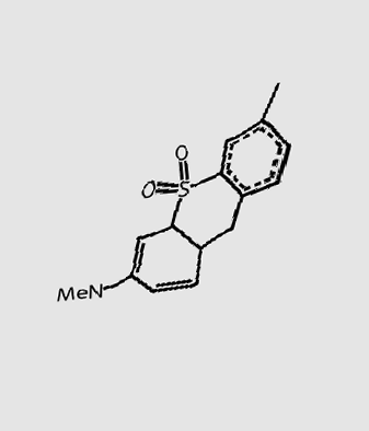 CNC1=CC2C(C=C1)Cc1ccc(C)cc1S2(=O)=O